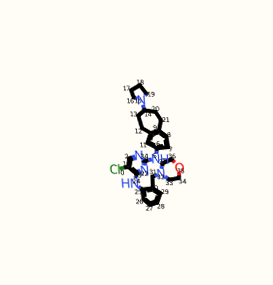 Clc1cnc(Nc2ccc3c(c2)CCC(N2CCCC2)CC3)nc1Nc1ccccc1CN1CCOCC1